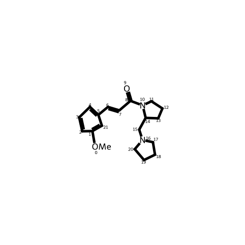 COc1cccc(C=CC(=O)N2CCCC2CN2CCCC2)c1